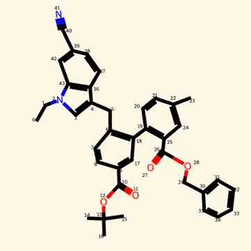 CCn1cc(Cc2ccc(C(=O)OC(C)(C)C)cc2-c2ccc(C)cc2C(=O)OCc2ccccc2)c2ccc(C#N)cc21